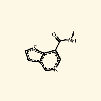 CNC(=O)c1cncc2ccsc12